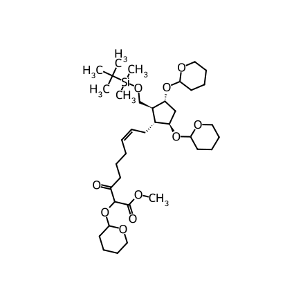 COC(=O)C(OC1CCCCO1)C(=O)CCC/C=C\C[C@@H]1[C@@H](CO[Si](C)(C)C(C)(C)C)[C@H](OC2CCCCO2)C[C@H]1OC1CCCCO1